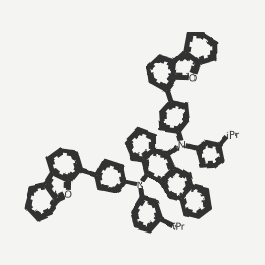 CC(C)c1cccc(N(c2ccc(-c3cccc4c3oc3ccccc34)cc2)c2c3ccccc3c(N(c3ccc(-c4cccc5c4oc4ccccc45)cc3)c3cccc(C(C)C)c3)c3cc4ccccc4cc23)c1